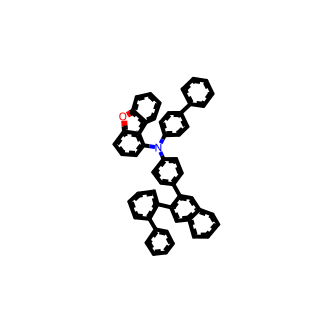 c1ccc(-c2ccc(N(c3ccc(-c4cc5ccccc5cc4-c4ccccc4-c4ccccc4)cc3)c3cccc4oc5ccccc5c34)cc2)cc1